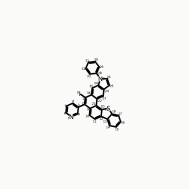 Ic1c(-c2cccnc2)c2ccc3c4ccccc4sc3c2c2cc3ccn(-c4ccccc4)c3cc12